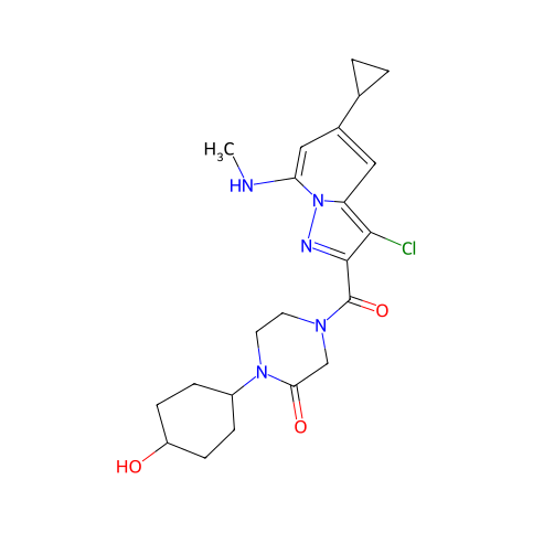 CNc1cc(C2CC2)cc2c(Cl)c(C(=O)N3CCN(C4CCC(O)CC4)C(=O)C3)nn12